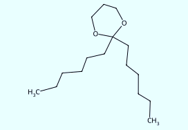 CCCCCCC1(CCCCCC)OCCCO1